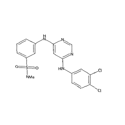 CNS(=O)(=O)c1cccc(Nc2cc(Nc3ccc(Cl)c(Cl)c3)ncn2)c1